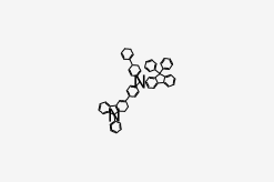 C1=C=C(n2c3c(c4ccccc42)C=C(c2ccc(N(C4=CCC(C5=CCCC=C5)C=C4)c4ccc5c(c4)C(c4ccccc4)(c4ccccc4)c4ccccc4-5)cc2)CC3)C=CC=1